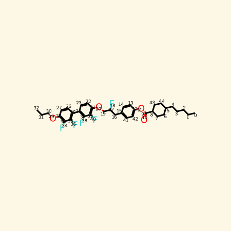 CCCCCC1CCC(C(=O)Oc2ccc(CC(F)COc3ccc(-c4ccc(OCCC)c(F)c4F)c(F)c3F)cc2)CC1